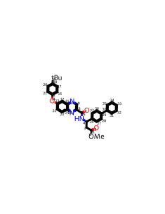 COC(=O)CC(NC(=O)c1cnc2cc(Oc3ccc(C(C)(C)C)cc3)ccc2n1)c1ccc(-c2ccccc2)cc1